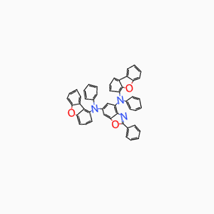 c1ccc(-c2nc3c(N(c4ccccc4)c4cccc5c4oc4ccccc45)cc(N(c4ccccc4)c4cccc5oc6ccccc6c45)cc3o2)cc1